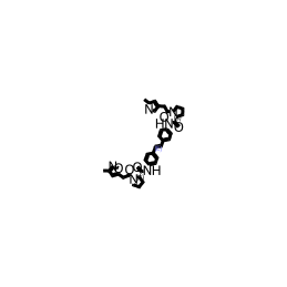 CC1=NCC(CC(=O)N2CCC[C@H]2C(=O)Nc2ccc(/C=C/c3ccc(NC(=O)[C@@H]4CCCN4C(=O)Cc4cc(C)no4)cc3)cc2)=C1